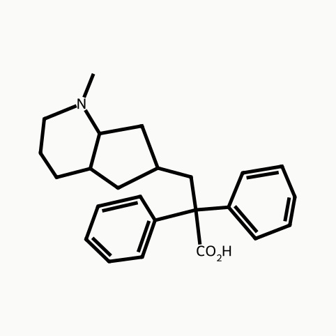 CN1CCCC2CC(CC(C(=O)O)(c3ccccc3)c3ccccc3)CC21